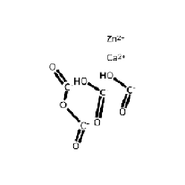 O=[C-]O.O=[C-]O.O=[C-]O[C-]=O.[Ca+2].[Zn+2]